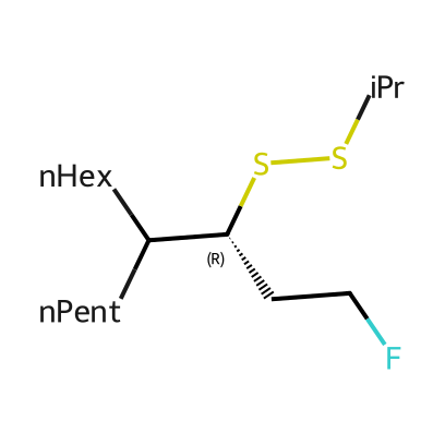 CCCCCCC(CCCCC)[C@@H](CCF)SSC(C)C